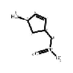 O=[N+]([O-])CC1C=C[C@H](O)C1